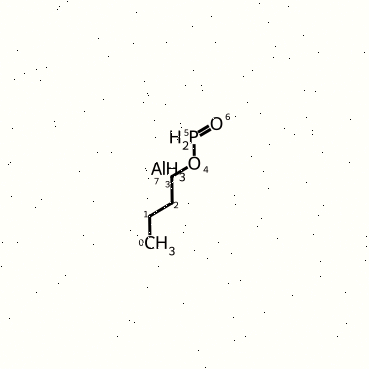 CCCCO[PH2]=O.[AlH3]